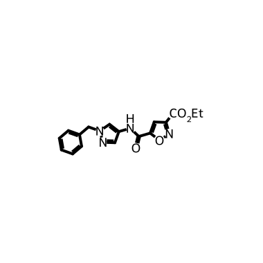 CCOC(=O)c1cc(C(=O)Nc2cnn(Cc3ccccc3)c2)on1